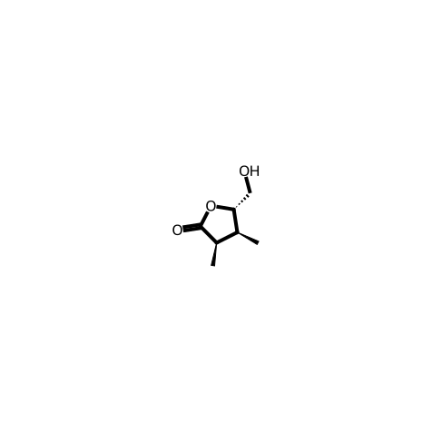 C[C@@H]1[C@@H](CO)OC(=O)[C@@H]1C